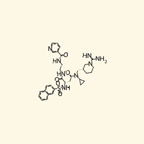 N=C(N)N1CCC[C@H](CN(C(=O)C[C@H](NS(=O)(=O)c2ccc3ccccc3c2)C(=O)NCCNC(=O)c2cccnc2)C2CC2)C1